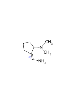 CN(C)C1CCC/C1=[C]/N